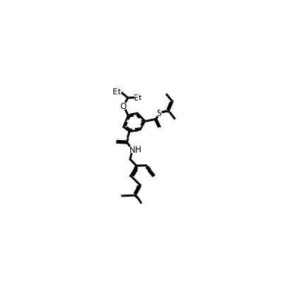 C=C/C(=C\C=C(C)C)CNC(=C)c1cc(OC(CC)CC)cc(C(=C)S/C(C)=C\C)c1